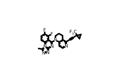 Cc1nnc2nc(N3CCCc4c3ccnc4C#CC3(C(F)(F)F)CC3)c3c(F)c(F)ccc3n12